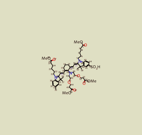 COC(=O)CCCCCN1/C(=C/C=C2\CCCC(/C=C/C3=[N+](CCCCCC(=O)OC)c4ccc(C)cc4C3(C)C)=C2N(CCOCCC(=O)OC)CCOCCC(=O)OC)C(C)(C)c2cc(S(=O)(=O)O)ccc21